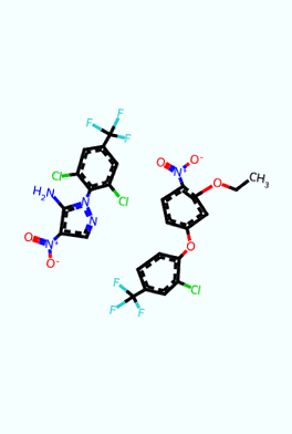 CCOc1cc(Oc2ccc(C(F)(F)F)cc2Cl)ccc1[N+](=O)[O-].Nc1c([N+](=O)[O-])cnn1-c1c(Cl)cc(C(F)(F)F)cc1Cl